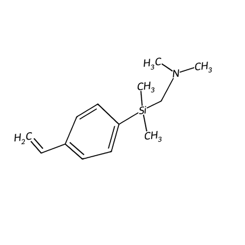 C=Cc1ccc([Si](C)(C)CN(C)C)cc1